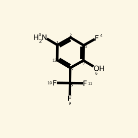 Nc1cc(F)c(O)c(C(F)(F)F)c1